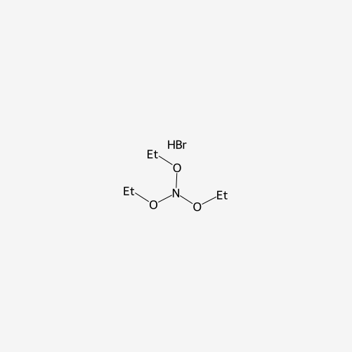 Br.CCON(OCC)OCC